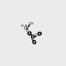 C#CCN(C)C(=O)COc1ccc(CCN(Cc2ccccc2)CC(O)COc2ccccc2)cc1